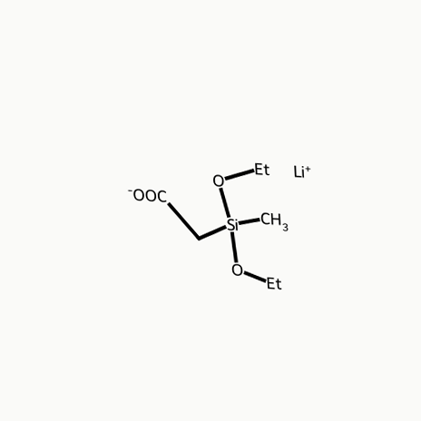 CCO[Si](C)(CC(=O)[O-])OCC.[Li+]